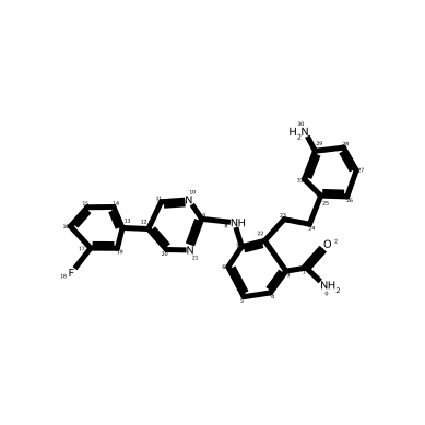 NC(=O)c1cccc(Nc2ncc(-c3cccc(F)c3)cn2)c1CCc1cccc(N)c1